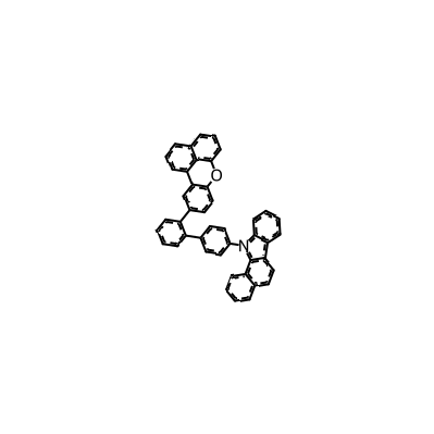 c1ccc(-c2ccc3c(c2)-c2cccc4cccc(c24)O3)c(-c2ccc(-n3c4ccccc4c4ccc5ccccc5c43)cc2)c1